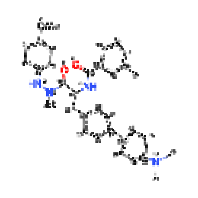 CCN(Nc1ccc(OC)cc1)C(=O)C(Cc1ccc(-c2ccc(N(C)C)cc2)cc1)NC(=O)c1cccc(C)c1